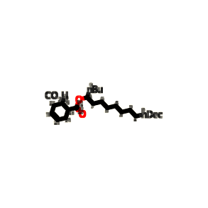 CCCCCCCCCCCCCCCCCC(CCCC)OC(=O)C1CC=CCC1C(=O)O